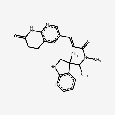 CC(N(C)C(=O)C=Cc1cnc2c(c1)CCC(=O)N2)C1(C)CNc2ncccc21